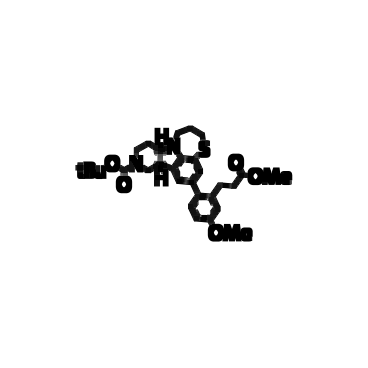 COC(=O)CCc1cc(OC)ccc1-c1cc2c3c(c1)[C@@H]1CN(C(=O)OC(C)(C)C)CC[C@@H]1N3CCCS2